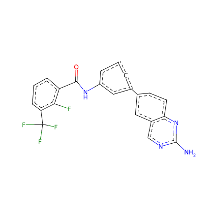 Nc1ncc2cc(-c3cccc(NC(=O)c4cccc(C(F)(F)F)c4F)c3)ccc2n1